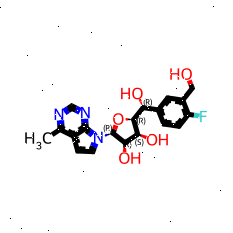 Cc1ncnc2c1ccn2[C@@H]1O[C@H]([C@H](O)c2ccc(F)c(CO)c2)[C@@H](O)[C@H]1O